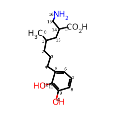 CC(CCCc1cccc(O)c1O)CC(CN)C(=O)O